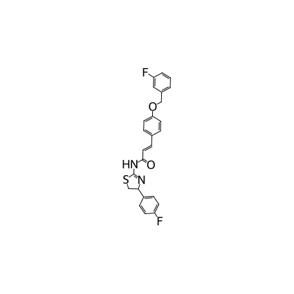 O=C(/C=C/c1ccc(OCc2cccc(F)c2)cc1)NC1=NC(c2ccc(F)cc2)CS1